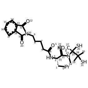 CC(C)C[C@H](NC(=O)CCCCN1C(=O)c2ccccc2C1=O)C(=O)N(C)[C@@](S)(C(=O)O)C(C)(C)S